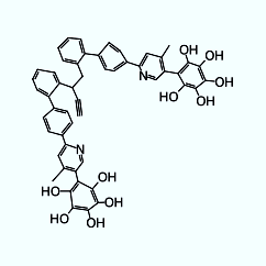 C#CC(Cc1ccccc1-c1ccc(-c2cc(C)c(-c3c(O)c(O)c(O)c(O)c3O)cn2)cc1)c1ccccc1-c1ccc(-c2cc(C)c(-c3c(O)c(O)c(O)c(O)c3O)cn2)cc1